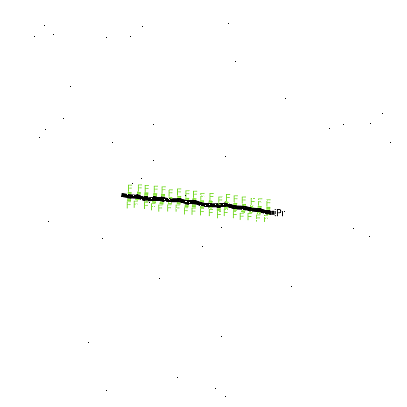 CC(C)C(F)(F)C(F)(F)C(F)(F)C(F)(F)C(F)(F)C(F)(F)C(F)(F)C(F)(F)C(F)(F)C(F)(F)C(F)(F)C(F)(F)C(F)(F)C(F)(F)C(F)(F)C(F)(F)C(F)(F)C(C)(F)F